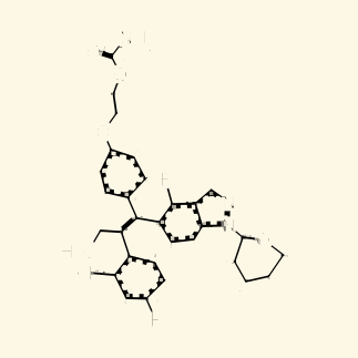 CCC(=C(c1ccc(OCCOC(N)=O)cc1)c1ccc2c(cnn2C2CCCCO2)c1F)c1ccc(F)cc1Cl